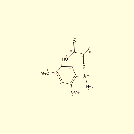 COc1ccc(NN)c(OC)c1.O=C(O)C(=O)O